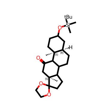 CC(C)(C)[Si](C)(C)OC1CC[C@]2(C)C3C(=O)C[C@@]4(C)C(CCC45OCCO5)C3CC[C@@H]2C1